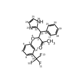 CC(=O)C(Oc1cccc(C(F)(F)F)c1)C(c1ccccc1)c1ncc[nH]1